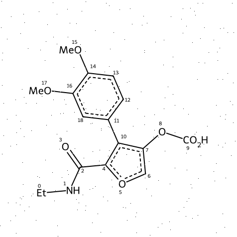 CCNC(=O)c1occ(OC(=O)O)c1-c1ccc(OC)c(OC)c1